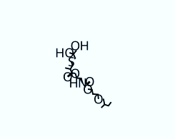 CCC(C)COCCCOC(=O)NCCOC(=O)C(C)CSCC(O)CO